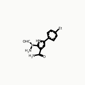 CCc1ccc(-c2cc(C(N)=O)c(N(N)C=O)[nH]2)cc1